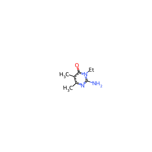 CCn1c(N)nc(C)c(C)c1=O